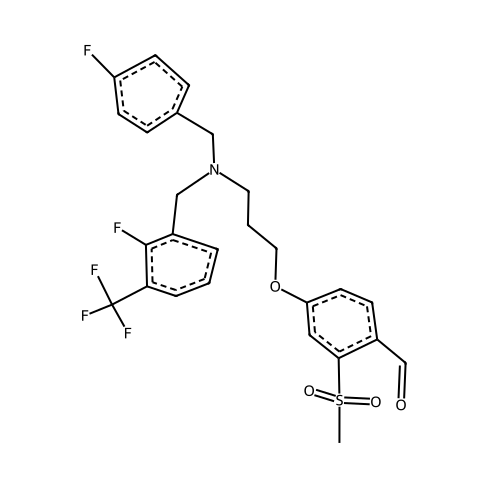 CS(=O)(=O)c1cc(OCCCN(Cc2ccc(F)cc2)Cc2cccc(C(F)(F)F)c2F)ccc1C=O